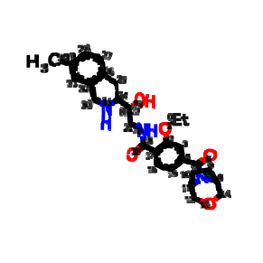 CCOc1cc(C(=O)N2C3CCC2COC3)ccc1C(=O)NC[C@@H](O)[C@@H]1Cc2ccc(C)cc2CN1